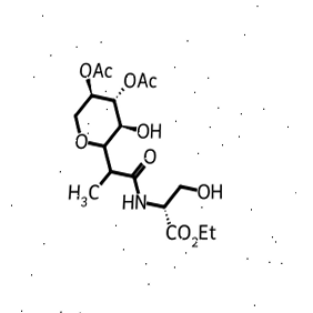 CCOC(=O)[C@@H](CO)NC(=O)C(C)C1OC[C@@H](OC(C)=O)[C@H](OC(C)=O)[C@H]1O